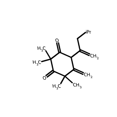 C=C(CC(C)C)C1C(=C)C(C)(C)C(=O)C(C)(C)C1=O